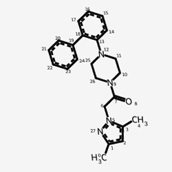 Cc1cc(C)n(CC(=O)N2CCN(c3ccccc3-c3ccccc3)CC2)n1